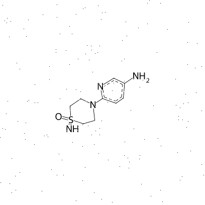 N=S1(=O)CCN(c2ccc(N)cn2)CC1